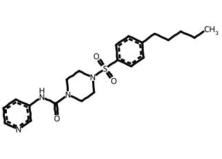 CCCCCc1ccc(S(=O)(=O)N2CCN(C(=O)Nc3cccnc3)CC2)cc1